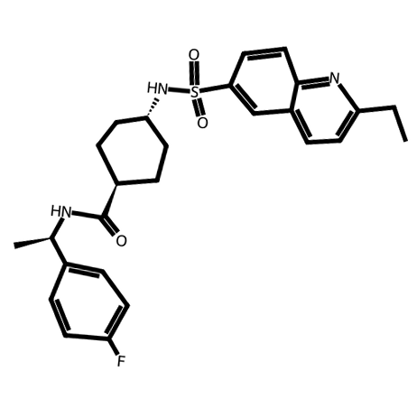 CCc1ccc2cc(S(=O)(=O)N[C@H]3CC[C@H](C(=O)N[C@H](C)c4ccc(F)cc4)CC3)ccc2n1